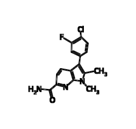 Cc1c(-c2ccc(Cl)c(F)c2)c2ccc(C(N)=O)nc2n1C